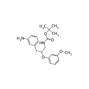 COc1cccc(OC(CNC(=O)OC(C)(C)C)Cc2cccc(N)c2)c1